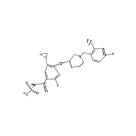 CS(=O)(=O)NC(=O)c1cc(C2CC2)c(OC2CCCN(Cc3ccc(F)cc3C(F)(F)F)C2)cc1F